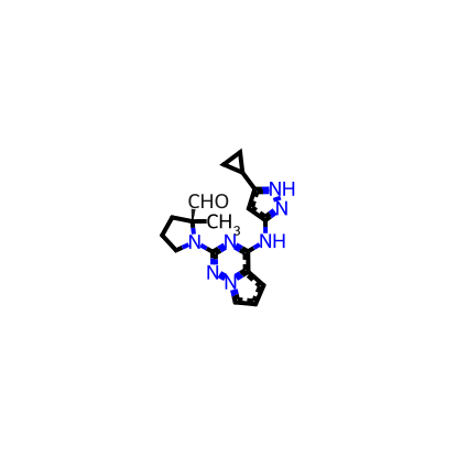 C[C@@]1(C=O)CCCN1c1nc(Nc2cc(C3CC3)[nH]n2)c2cccn2n1